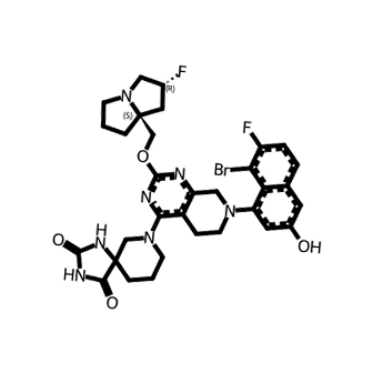 O=C1NC(=O)C2(CCCN(c3nc(OC[C@@]45CCCN4C[C@H](F)C5)nc4c3CCN(c3cc(O)cc5ccc(F)c(Br)c35)C4)C2)N1